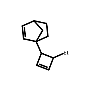 CCC1C=CC1C12C=CC(CC1)C2